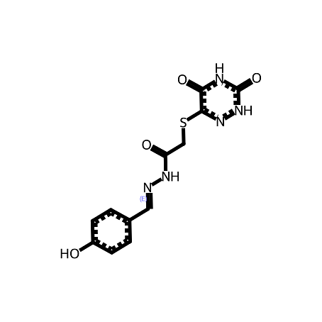 O=C(CSc1n[nH]c(=O)[nH]c1=O)N/N=C/c1ccc(O)cc1